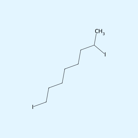 CC(I)CCCCCCI